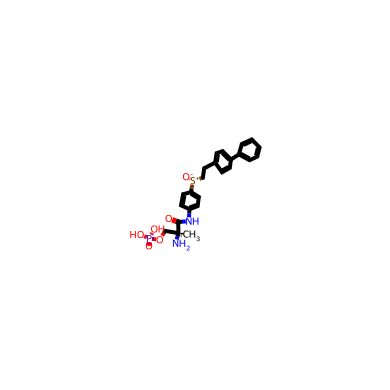 C[C@](N)(COP(=O)(O)O)C(=O)Nc1ccc([S+]([O-])CCc2ccc(-c3ccccc3)cc2)cc1